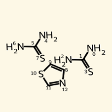 NC(N)=S.NC(N)=S.c1cscn1